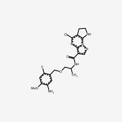 COc1cc(F)c(COCC(C)NC(=O)c2cnn3c4c(c(Cl)nc23)CCN4)cc1N